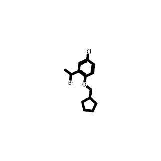 CC(Br)c1cc(Cl)ccc1OCC1CCCC1